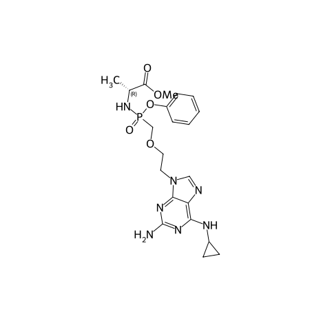 COC(=O)[C@@H](C)NP(=O)(COCCn1cnc2c(NC3CC3)nc(N)nc21)Oc1ccccc1